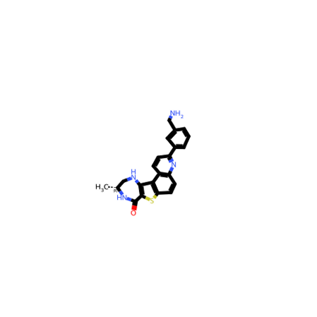 C[C@@H]1CNc2c(sc3ccc4nc(-c5cccc(CN)c5)ccc4c23)C(=O)N1